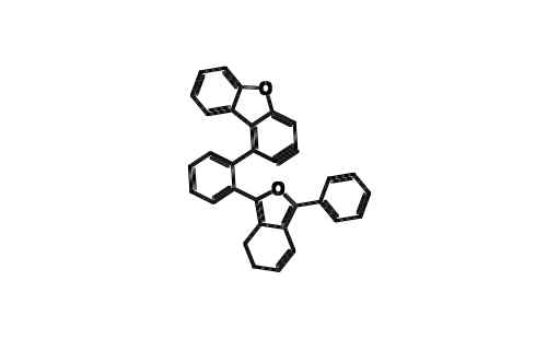 c1cc2oc3ccccc3c2c(-c2ccccc2-c2oc(-c3ccccc3)c3c2CCC=C3)c#1